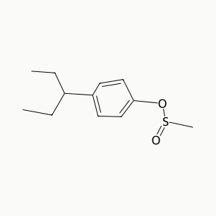 CCC(CC)c1ccc(OS(C)=O)cc1